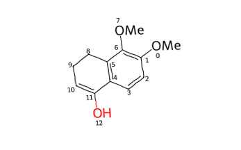 COc1ccc2c(c1OC)CCC=C2O